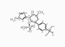 C[C@H]1C[C@@](OS(N)(=O)=O)(c2ccc(C(F)(F)F)cc2)C[C@@H](c2cn(C)nn2)N1